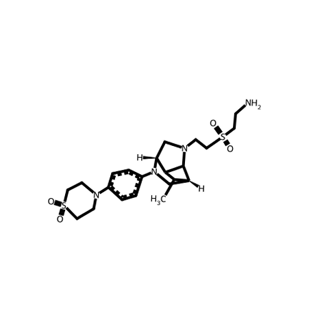 CC1C2C3[C@@H]1CN(c1ccc(N4CCS(=O)(=O)CC4)cc1)[C@@H]2CN3CCS(=O)(=O)CCN